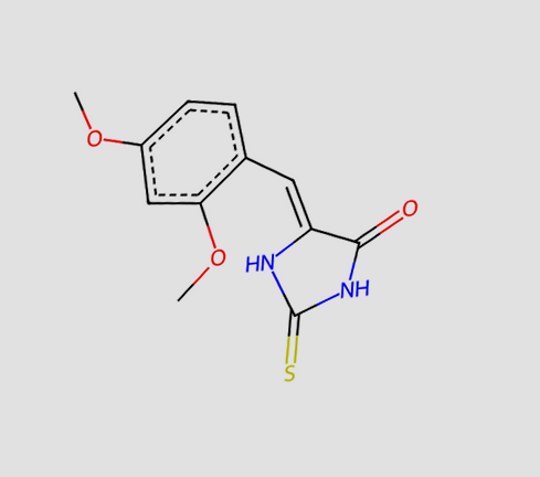 COc1ccc(/C=C2\NC(=S)NC2=O)c(OC)c1